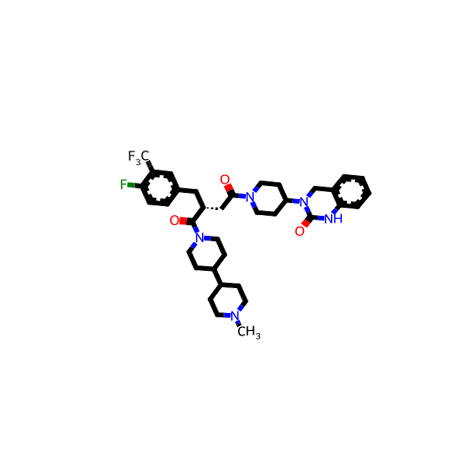 CN1CCC(C2CCN(C(=O)[C@@H](CC(=O)N3CCC(N4Cc5ccccc5NC4=O)CC3)Cc3ccc(F)c(C(F)(F)F)c3)CC2)CC1